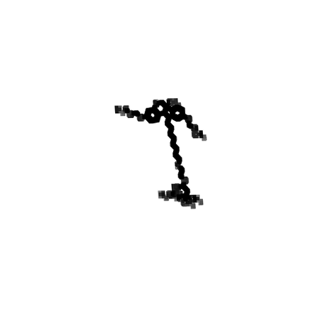 COCOc1ccc(C2(C)CSc3cc(OCOC)ccc3C2CCCCCCCCCSCCOC(CC(C)(C)C)O[SiH](C)C)cc1